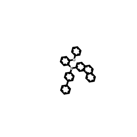 c1ccc(Oc2ccccc2N(c2ccc(-c3ccccc3)cc2)c2ccc3ccc4ccccc4c3c2)cc1